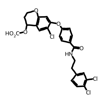 O=C(O)OC1CCOc2cc(Oc3ccc(C(=O)NCCc4ccc(Cl)c(Cl)c4)cc3)c(Cl)cc21